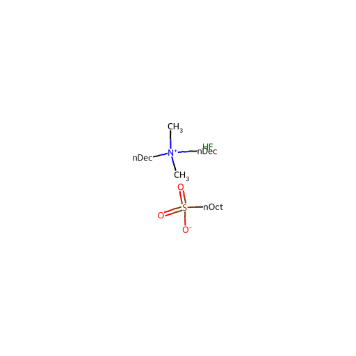 CCCCCCCCCC[N+](C)(C)CCCCCCCCCC.CCCCCCCCS(=O)(=O)[O-].F